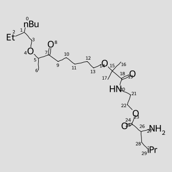 CCCCC(CC)COC(C)C(=O)CCCCCOC(C)(C)C(=O)NCCOC(=O)C(N)CC(C)C